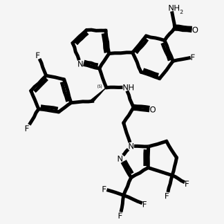 NC(=O)c1cc(-c2cccnc2[C@H](Cc2cc(F)cc(F)c2)NC(=O)Cn2nc(C(F)(F)F)c3c2CCC3(F)F)ccc1F